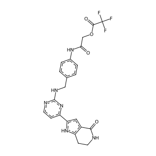 O=C(COC(=O)C(F)(F)F)Nc1ccc(CNc2nccc(-c3cc4c([nH]3)CCNC4=O)n2)cc1